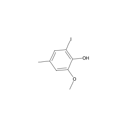 COc1cc(C)cc(I)c1O